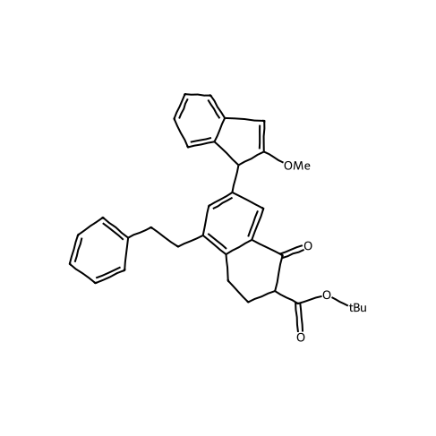 COC1=Cc2ccccc2C1c1cc(CCc2ccccc2)c2c(c1)C(=O)C(C(=O)OC(C)(C)C)CC2